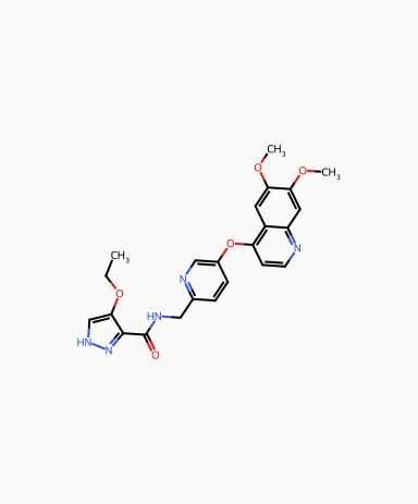 CCOc1c[nH]nc1C(=O)NCc1ccc(Oc2ccnc3cc(OC)c(OC)cc23)cn1